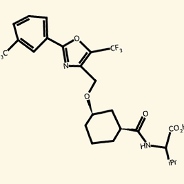 CC(C)C(NC(=O)[C@H]1CCC[C@@H](OCc2nc(-c3cccc(C(F)(F)F)c3)oc2C(F)(F)F)C1)C(=O)O